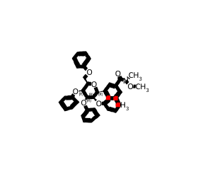 CON(C)C(=O)c1cc(C)cc([C@H]2O[C@H](COc3ccccc3)[C@@H](Oc3ccccc3)[C@H](Oc3ccccc3)[C@@H]2Oc2ccccc2)c1